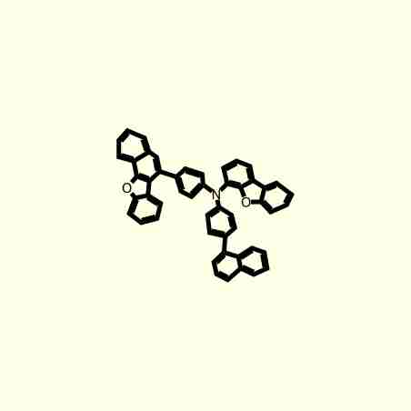 c1ccc2c(-c3ccc(N(c4ccc(-c5cc6ccccc6c6oc7ccccc7c56)cc4)c4cccc5c4oc4ccccc45)cc3)cccc2c1